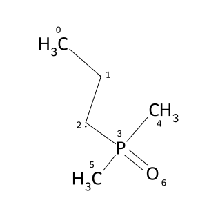 CC[CH]P(C)(C)=O